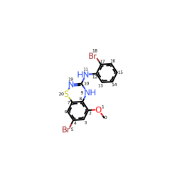 COc1cc(Br)cc2c1NC(Nc1ccccc1Br)=NS2